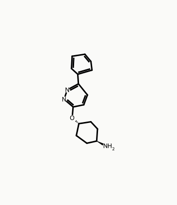 N[C@H]1CC[C@H](Oc2ccc(-c3ccccc3)nn2)CC1